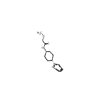 COCC(=O)N[C@H]1CC[C@H](n2c[c]cn2)CC1